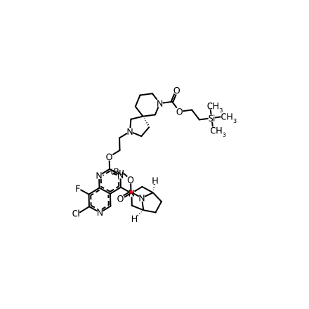 CC(C)(C)OC(=O)N1[C@@H]2CC[C@H]1CN(c1nc(OCCN3CC[C@@]4(CCCN(C(=O)OCC[Si](C)(C)C)C4)C3)nc3c(F)c(Cl)ncc13)C2